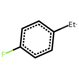 C[CH]c1ccc(F)cc1